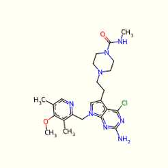 CNC(=O)N1CCN(CCc2cn(Cc3ncc(C)c(OC)c3C)c3nc(N)nc(Cl)c23)CC1